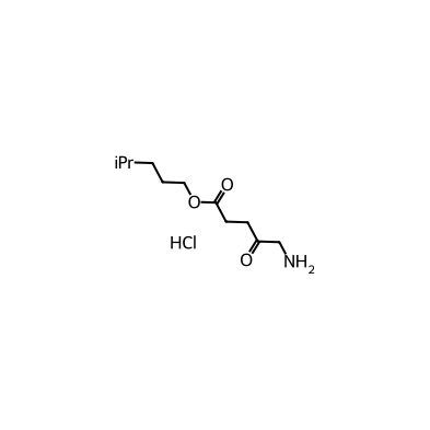 CC(C)CCCOC(=O)CCC(=O)CN.Cl